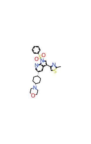 Cc1nc(-c2cn(S(=O)(=O)c3ccccc3)c3ncc([C@H]4CC[C@@H](N5CCOCC5)CC4)cc23)cs1